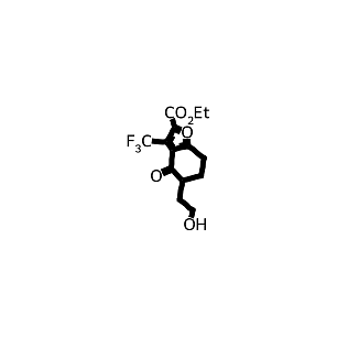 CCOC(=O)c1oc2c(c1C(F)(F)F)C(=O)C(CCO)CC2